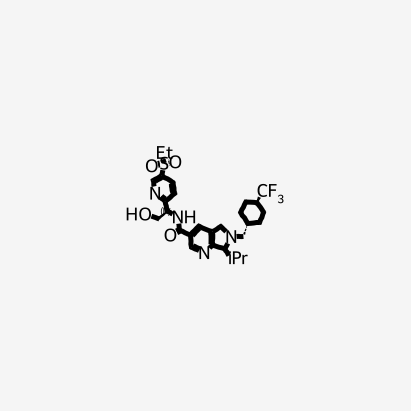 CCS(=O)(=O)c1ccc([C@H](CO)NC(=O)c2cnc3c(c2)CN(C[C@H]2CC[C@H](C(F)(F)F)CC2)C3C(C)C)nc1